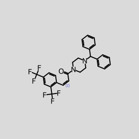 O=C(/C=C\c1ccc(C(F)(F)F)cc1C(F)(F)F)N1CCN(C(c2ccccc2)c2ccccc2)CC1